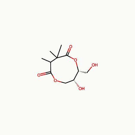 CC1C(=O)OC[C@@H](O)[C@@H](CO)OC(=O)C1(C)C